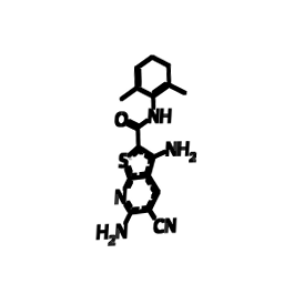 CC1=CCCC(C)=C1NC(=O)c1sc2nc(N)c(C#N)cc2c1N